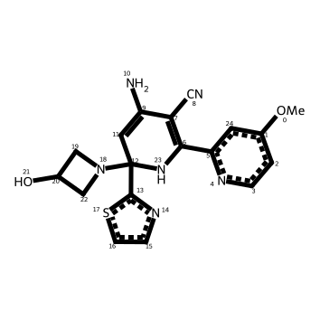 COc1ccnc(C2=C(C#N)C(N)=CC(c3nccs3)(N3CC(O)C3)N2)c1